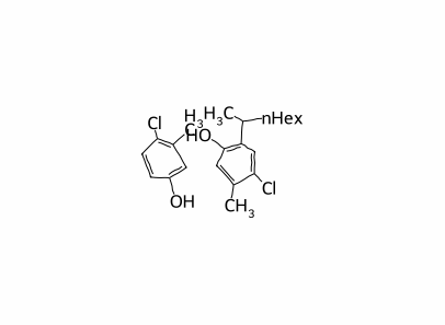 CCCCCCC(C)c1cc(Cl)c(C)cc1O.Cc1cc(O)ccc1Cl